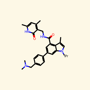 Cc1cc(C)c(CNC(=O)c2cc(-c3ccc(CN(C)C)cc3)cc3c2c(C)cn3C(C)C)c(=O)[nH]1